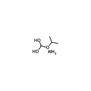 CC(C)OP(O)O.[AlH3]